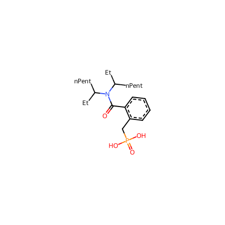 CCCCCC(CC)N(C(=O)c1ccccc1CP(=O)(O)O)C(CC)CCCCC